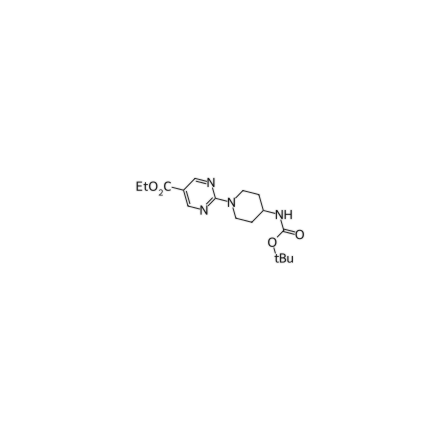 CCOC(=O)c1cnc(N2CCC(NC(=O)OC(C)(C)C)CC2)nc1